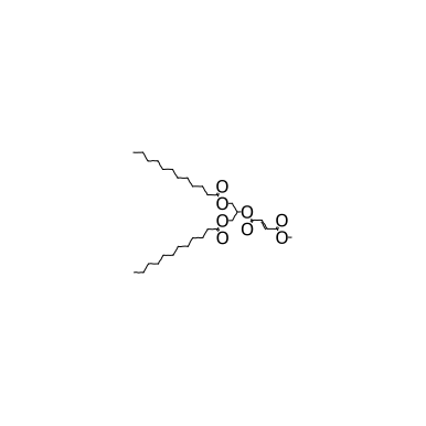 CCCCCCCCCCCC(=O)OCC(COC(=O)CCCCCCCCCCC)OC(=O)/C=C/C(=O)OC